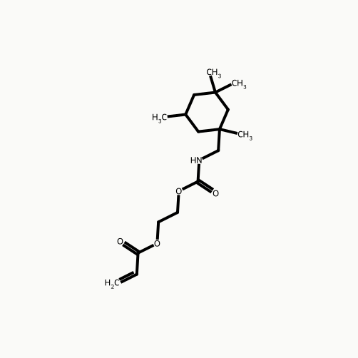 C=CC(=O)OCCOC(=O)NCC1(C)CC(C)CC(C)(C)C1